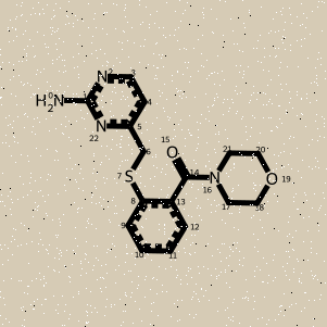 Nc1nccc(CSc2ccccc2C(=O)N2CCOCC2)n1